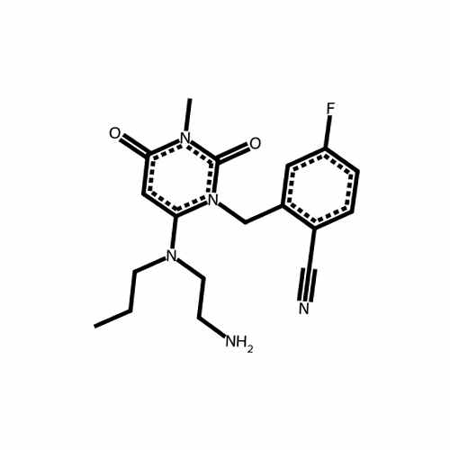 CCCN(CCN)c1cc(=O)n(C)c(=O)n1Cc1cc(F)ccc1C#N